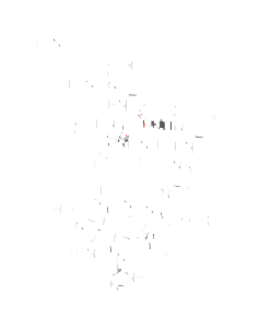 CC[C@H](C)[C@H](NC(=O)[C@H](CO)NC(=O)[C@@H]1CCCN1C(=O)[C@@H](NC(=O)[C@H](CC(=O)O)NC(=O)[C@@H]1CCCN1C(=O)[C@@H](NC(=O)[C@@H](NC(=O)[C@@H](NC(=O)[C@H](CO)NC(=O)[C@H](CO)NC(=O)[C@H](CCC(=O)O)NC(=O)[C@@H](NC(=O)[C@H](CO)NC(=O)[C@@H](N)CCCCN)[C@@H](C)O)C(C)C)[C@@H](C)O)C(C)C)C(C)C)C(=O)N[C@@H](Cc1c[nH]cn1)C(=O)N[C@@H](CC(=O)O)C(=O)O